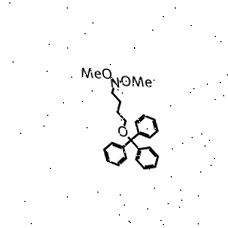 CON(CCCCOC(c1ccccc1)(c1ccccc1)c1ccccc1)OC